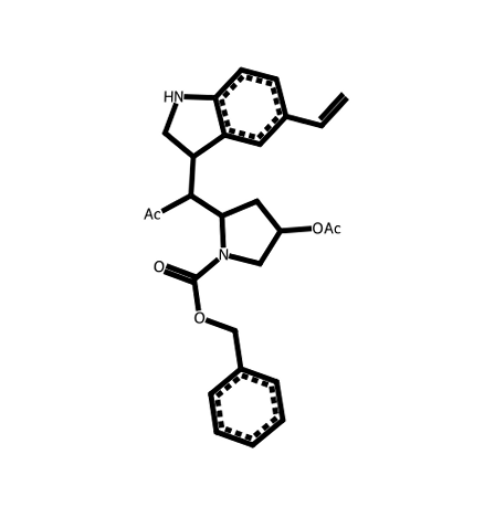 C=Cc1ccc2c(c1)C(C(C(C)=O)C1CC(OC(C)=O)CN1C(=O)OCc1ccccc1)CN2